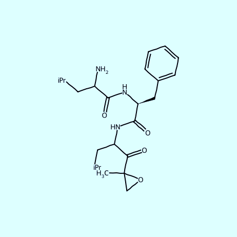 CC(C)CC(N)C(=O)N[C@@H](Cc1ccccc1)C(=O)NC(CC(C)C)C(=O)C1(C)CO1